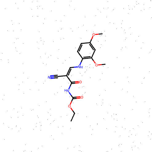 CCOC(=O)NC(=O)/C(C#N)=C\Nc1ccc(OC)cc1OC